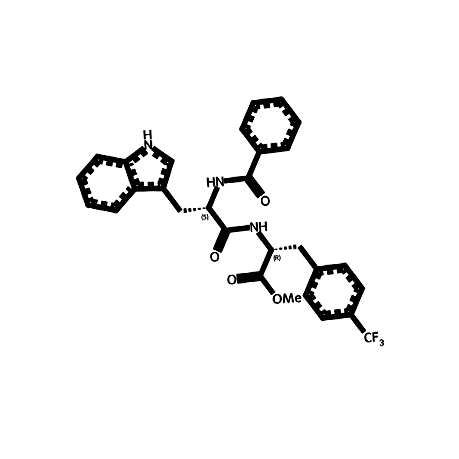 COC(=O)[C@@H](Cc1ccc(C(F)(F)F)cc1)NC(=O)[C@H](Cc1c[nH]c2ccccc12)NC(=O)c1ccccc1